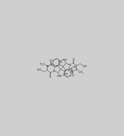 CN1C(=O)C23SSC1(CO)C(=O)N2C1Nc2ccccc2C1(C12c4ccccc4NC1N1C(=O)C4(CO)SSC1(C(=O)N4C)C2O)C3O